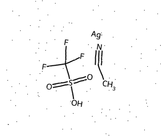 CC#N.O=S(=O)(O)C(F)(F)F.[Ag]